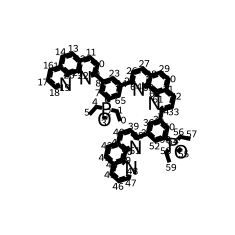 CCP(=O)(CC)c1cc(-c2ccc3ccc4cccnc4c3n2)cc(-c2ccc3ccc4ccc(-c5cc(-c6ccc7ccc8cccnc8c7n6)cc(P(=O)(CC)CC)c5)nc4c3n2)c1